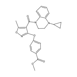 COC(=O)c1ccc(Oc2noc(C)c2C(=O)N2CCN(C3CC3)c3ccccc32)cc1